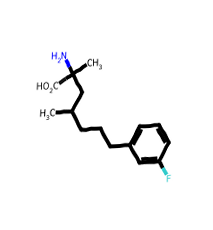 CC(CCCc1cccc(F)c1)CC(C)(N)C(=O)O